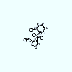 O=Cc1cccn1S(=O)(=O)c1ccccc1Cl